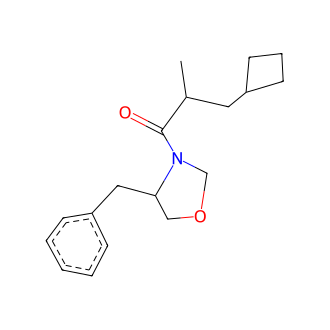 CC(CC1CCC1)C(=O)N1COCC1Cc1ccccc1